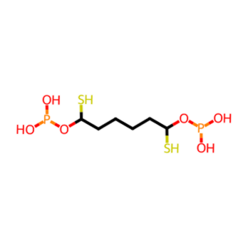 OP(O)OC(S)CCCCC(S)OP(O)O